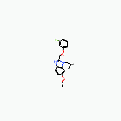 CCOc1ccc2nc(COc3cccc(F)c3)n(CC(C)C)c2c1